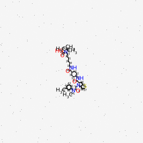 CCN(C(=O)Cn1c(C(=O)N[C@H]2CC[C@H](C(=O)NCCCCCCN(C(=O)O)C(C)(C)C)CC2)cc2sccc21)c1cccc(C)c1